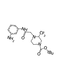 CC(C)(C)OC(=O)N1CCN(CC(=O)Nc2cccc(N)c2)C(C(F)(F)F)C1